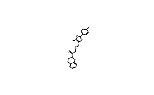 Cc1ccc(-c2nc(CSCC(=O)C3CCc4ccccc4C3)c(C)o2)cc1